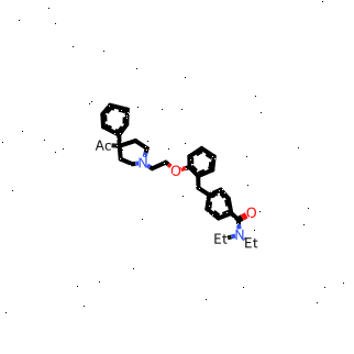 CCN(CC)C(=O)c1ccc(Cc2ccccc2OCCN2CCC(C(C)=O)(c3ccccc3)CC2)cc1